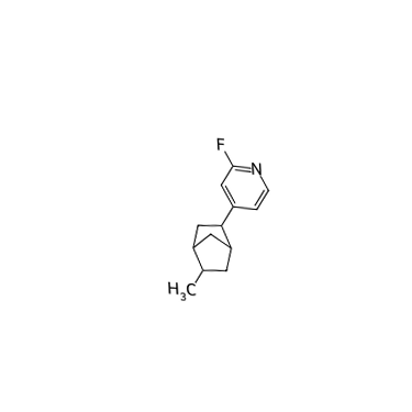 CC1CC2CC1CC2c1ccnc(F)c1